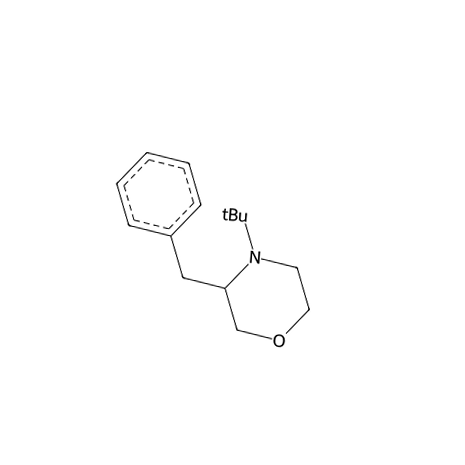 CC(C)(C)N1CCOCC1Cc1ccccc1